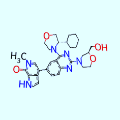 Cn1cc(-c2ccc3nc(N4CCO[C@H](CO)C4)nc(N4CCOC[C@@H]4C4CCCCC4)c3c2)c2cc[nH]c2c1=O